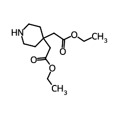 CCOC(=O)CC1(CC(=O)OCC)CCNCC1